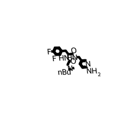 CCCCN(C)CC(=O)NC(Cc1ccc(F)c(F)c1)C(=O)NCc1ccc(N)nc1